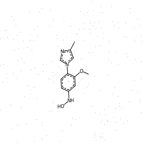 COc1cc(NO)ccc1-n1cnc(C)c1